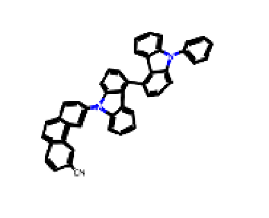 N#Cc1ccc2ccc3ccc(-n4c5ccccc5c5c(-c6cccc7c6c6ccccc6n7-c6ccccc6)cccc54)cc3c2c1